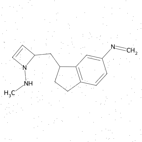 C=Nc1ccc2c(c1)C(CC1C=CN1NC)CC2